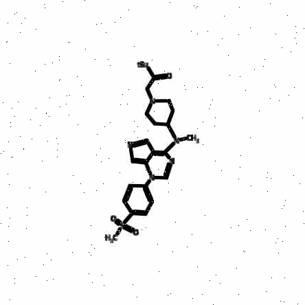 CN(c1ncn(-c2ccc(S(C)(=O)=O)cc2)c2cncc1-2)C1CCN(CC(=O)C(C)(C)C)CC1